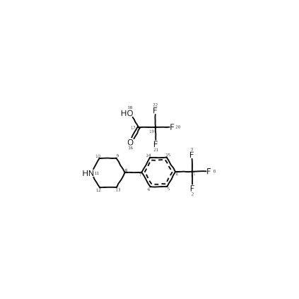 FC(F)(F)c1ccc(C2CCNCC2)cc1.O=C(O)C(F)(F)F